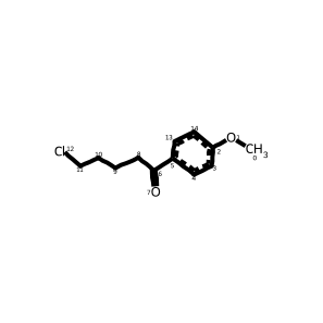 COc1ccc(C(=O)CCCCCl)cc1